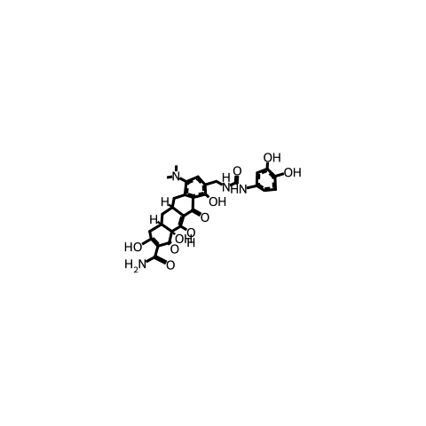 CN(C)c1cc(CNC(=O)Nc2ccc(O)c(O)c2)c(O)c2c1C[C@H]1C[C@H]3CC(O)=C(C(N)=O)C(=O)[C@@]3(O)C(O)=C1C2=O